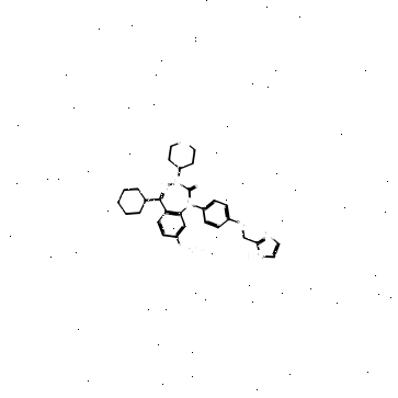 COc1ccc2c(c1)N(c1ccc(NCc3ncc[nH]3)cc1)C(=O)N(C1CCOCC1)N=C2C1CCCCC1